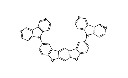 c1cc2c(cn1)c1cnccc1n2-c1ccc2oc3cc4oc5ccc(-n6c7ccncc7c7cnccc76)cc5c4cc3c2c1